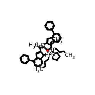 CCC[CH2][Hf]([CH2]CCC)([CH]1C(C)=Cc2c(-c3ccccc3)cccc21)[Si]1([Hf]([CH2]CCC)([CH2]CCC)[CH]2C(C)=Cc3c(-c4ccccc4)cccc32)CCCC1